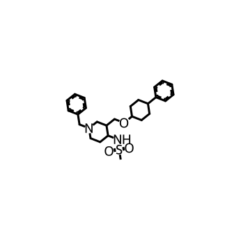 CS(=O)(=O)NC1CCN(Cc2ccccc2)CC1COC1CCC(c2ccccc2)CC1